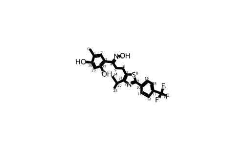 Cc1cc(C(CCc2sc(-c3ccc(C(F)(F)F)cc3)nc2C(C)C)=NO)c(O)cc1O